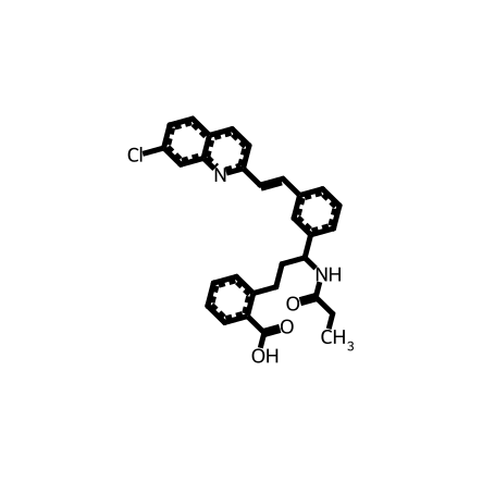 CCC(=O)NC(CCc1ccccc1C(=O)O)c1cccc(/C=C/c2ccc3ccc(Cl)cc3n2)c1